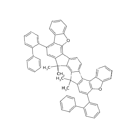 CC1(C)c2cc(-c3ccccc3-c3ccccc3)c3c(oc4ccccc43)c2-c2ccc3c(c21)C(C)(C)c1cc(-c2ccccc2-c2ccccc2)c2oc4ccccc4c2c1-3